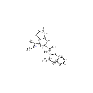 CC(C)(C)/C=C(\C#N)C(=O)N1CCNCC1COC(=O)NC(Cc1ccccc1)B(O)O